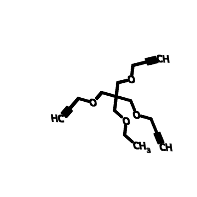 C#CCOCC(COCC)(COCC#C)COCC#C